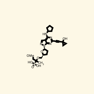 COCC(C)(OC[C@@H]1CC[C@H](n2ncc3c(NC4CCCC4)nc(C#CC4(O)CC4)nc32)O1)P(=O)(O)O